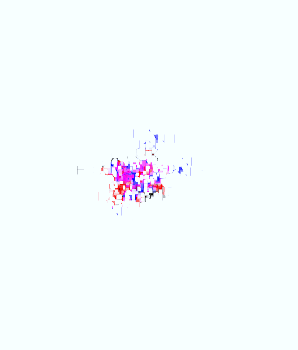 CC(C)C[C@H](NC(=O)[C@@H](NC(=O)[C@H](CCCNC(=N)N)NC(=O)[C@H](CCCNC(=N)N)NC(=O)[C@@H](NC(=O)[C@@H](NC(=O)[C@H](C)NC(=O)[C@@H](N)CC(C)C)[C@@H](C)O)C(C)C)C(C)C)C(=O)N[C@@H](CO)C(=O)N[C@@H](Cc1ccc(O)cc1)C(=O)N1CCC[C@H]1C(=O)N[C@@H](CCC(N)=O)C(=O)N[C@H](C(=O)N[C@@H](CC(N)=O)C(=O)O)C(C)C